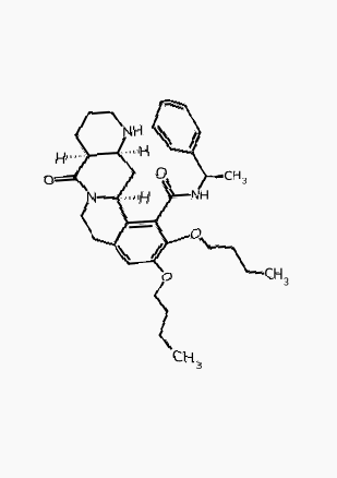 CCCCOc1cc2c(c(C(=O)N[C@H](C)c3ccccc3)c1OCCCC)[C@@H]1C[C@@H]3NCCC[C@@H]3C(=O)N1CC2